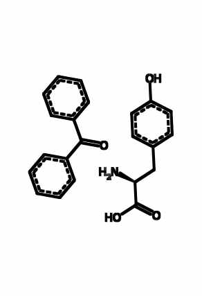 N[C@@H](Cc1ccc(O)cc1)C(=O)O.O=C(c1ccccc1)c1ccccc1